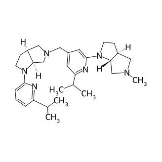 CC(C)c1cccc(N2CC[C@H]3CN(Cc4cc(C(C)C)nc(N5CC[C@H]6CN(C)C[C@@H]65)c4)C[C@H]32)n1